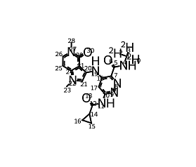 [2H]C([2H])([2H])NC(=O)c1nnc(NC(=O)C2CC2)cc1Nc1cn(C)c2ccn(C)c(=O)c12